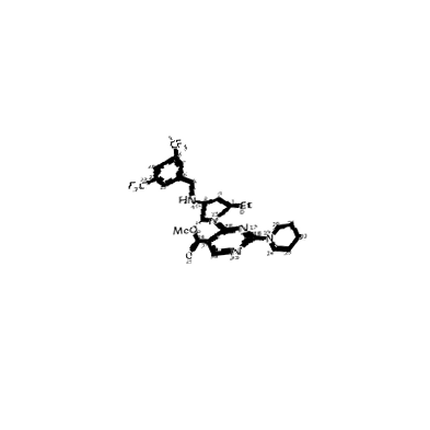 CCC1C[C@H](NCc2cc(C(F)(F)F)cc(C(F)(F)F)c2)CN1c1nc(N2CCCCC2)ncc1C(=O)OC